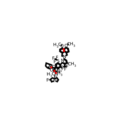 COc1ccc(CN(Cc2ccc(OC)cc2)c2cc(C)c(C(F)(F)F)c(-c3c(SC(F)(F)F)cc4c(N5CC6CCC(C5)N6C(=O)OC(C)(C)C)nc(OC[C@@]56CCCN5C[C@H](F)C6)nc4c3F)n2)cc1